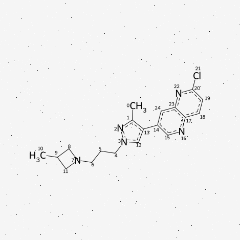 Cc1nn(CCCN2CC(C)C2)cc1-c1cnc2ccc(Cl)nc2c1